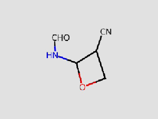 N#CC1COC1NC=O